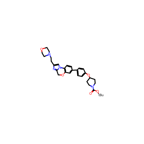 CC(C)(C)OC(=O)N1CCC(Oc2ccc(-c3ccc4c(c3)OCc3nc(CCN5CCOCC5)cn3-4)cc2)CC1